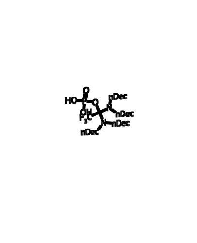 CCCCCCCCCCN(CCCCCCCCCC)C(OP(=O)(O)O)(N(CCCCCCCCCC)CCCCCCCCCC)C(F)(F)F